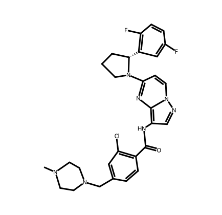 CN1CCN(Cc2ccc(C(=O)Nc3cnn4ccc(N5CCC[C@@H]5c5cc(F)ccc5F)nc34)c(Cl)c2)CC1